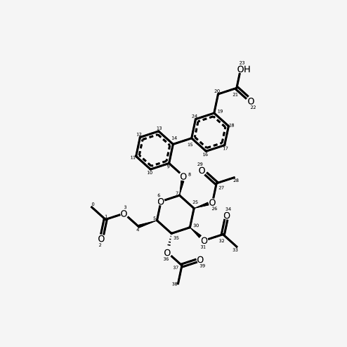 CC(=O)OC[C@H]1O[C@@H](Oc2ccccc2-c2cccc(CC(=O)O)c2)[C@@H](OC(C)=O)[C@@H](OC(C)=O)[C@@H]1OC(C)=O